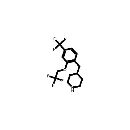 FC(F)(F)COc1cc(C(F)(F)F)ccc1CC1CCNCC1